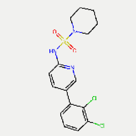 O=S(=O)(Nc1ccc(-c2cccc(Cl)c2Cl)cn1)N1CCCCC1